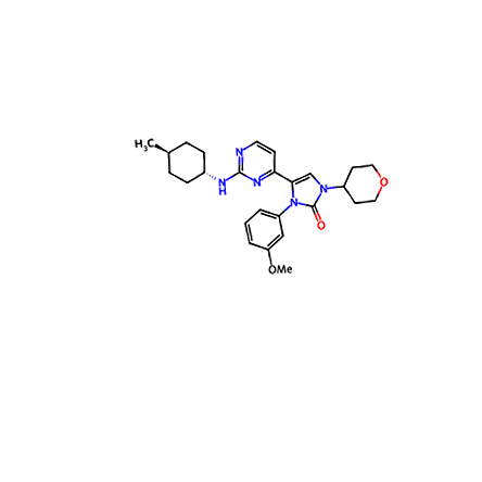 COc1cccc(-n2c(-c3ccnc(N[C@H]4CC[C@H](C)CC4)n3)cn(C3CCOCC3)c2=O)c1